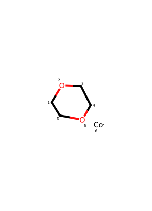 C1COCCO1.[Co]